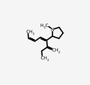 C=C(CC)/C(=C\C=C/C)C1CCCN1C